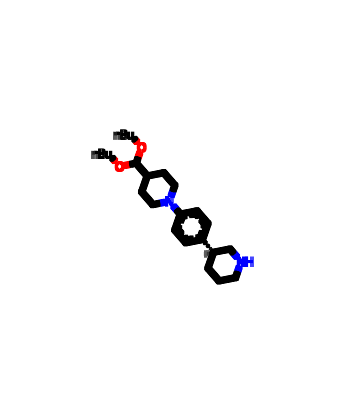 CCCCOC(OCCCC)C1CCN(c2ccc([C@H]3CCCNC3)cc2)CC1